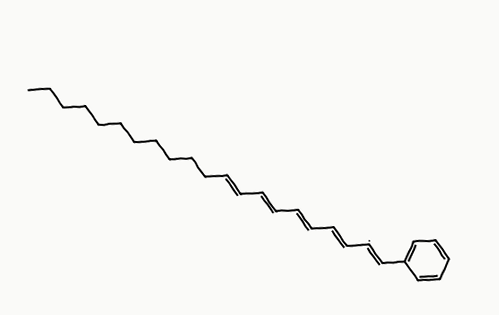 CCCCCCCCCCCC=CC=CC=CC=C[C]=Cc1ccccc1